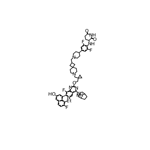 CCc1c(F)ccc2cc(O)cc(-c3ncc4c(N5CC6CCC(C5)N6)nc(OCC5(CN6CCC7(CC6)CC(CN6CCC(c8cc(F)c(NC9CCC(=O)NC9=O)c(F)c8)CC6)C7)CC5)nc4c3F)c12